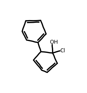 OC1(Cl)C=CC=CC1c1ccccc1